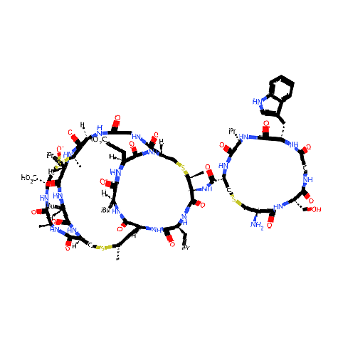 CCC(C)[C@@H]1NC(=O)[C@H](C(C)C)NC(=O)[C@H]2NC(=O)CNC(=O)[C@@H]3CS[C@@H](C)[C@@H](NC(=O)[C@H]4CSC[C@H](N)C(=O)N[C@@H](CO)C(=O)NCC(=O)N[C@@H](Cc5c[nH]c6ccccc56)C(=O)N[C@@H](C(C)C)C(=O)N4)C(=O)N[C@@H](CC(C)C)C(=O)N[C@@H](C(=O)N[C@@H](C(C)CC)C(=O)N[C@@H](CCC(=O)O)C(=O)N3)[C@H](C)SC[C@H](NC1=O)C(=O)N[C@@H](C)C(=O)N[C@H](C(=O)O)C[S+]([O-])[C@H]2C